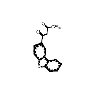 O=C(CC(=O)C(F)(F)F)c1ccc2oc3ccccc3c2c1